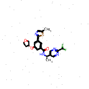 Cc1cnc(-c2cc(O[C@@H]3CCOC3)cc(C(=O)N[C@H](C)c3cnc(C(F)F)nc3)c2)s1